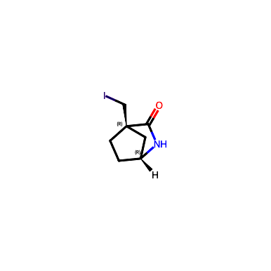 O=C1N[C@@H]2CC[C@@]1(CI)C2